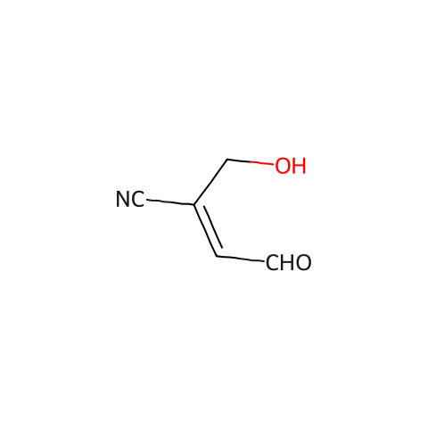 N#CC(=CC=O)CO